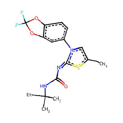 CCC(C)(C)NC(=O)N=c1sc(C)cn1-c1ccc2c(c1)OC(F)(F)O2